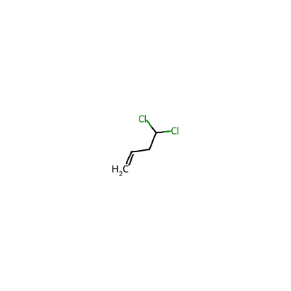 C=CCC(Cl)Cl